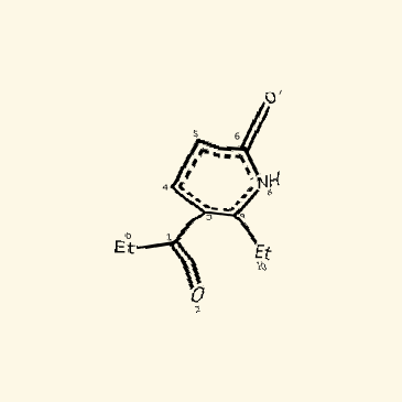 CCC(=O)c1ccc(=O)[nH]c1CC